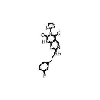 O=c1[nH]c2nc(NCCc3cccc(F)c3)ncc2c(=O)n1-c1nccs1